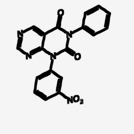 O=c1c2cncnc2n(-c2cccc([N+](=O)[O-])c2)c(=O)n1-c1ccccc1